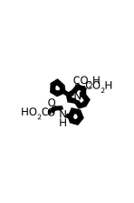 O=C(O)OC(=O)CNc1ccccc1.O=C(O)c1c(C(=O)O)c2c(-c3ccccc3)cc3cccc1n32